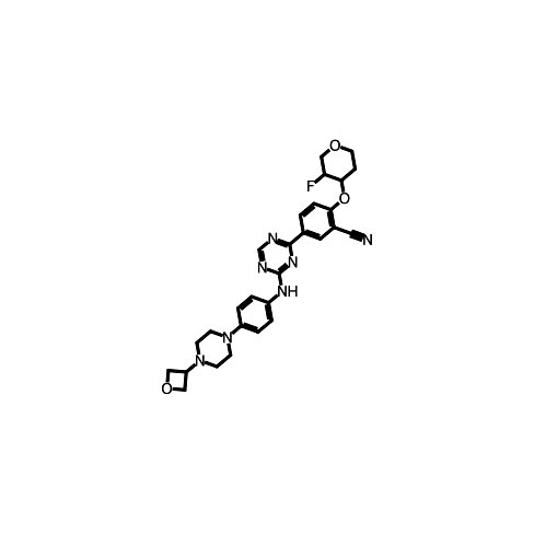 N#Cc1cc(-c2ncnc(Nc3ccc(N4CCN(C5COC5)CC4)cc3)n2)ccc1OC1CCOCC1F